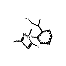 CC1=N[N+](C)(c2ccccc2C(C)CC(C)C)C(F)=C1